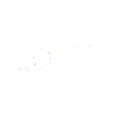 NCCCCN1CCN(N)CC1